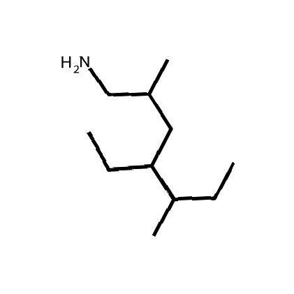 CCC(C)C(CC)CC(C)CN